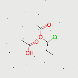 CC(=O)O.CCC(Cl)OC(C)=O